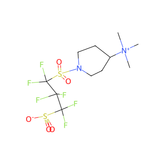 C[N+](C)(C)C1CCN(S(=O)(=O)C(F)(F)C(F)(F)C(F)(F)S(=O)(=O)[O-])CC1